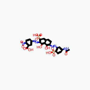 CC(=O)Nc1ccc(S(=O)(=O)O)c(/N=N/c2ccc3cc(S(=O)(=O)O)c(/N=N/c4ccc([N+](=O)[O-])c(C(=O)O)c4)c(O)c3c2O)c1